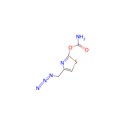 [N-]=[N+]=NCc1csc(OC(N)=O)n1